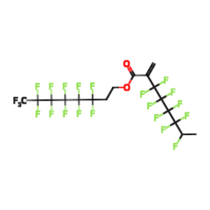 C=C(C(=O)OCCC(F)(F)C(F)(F)C(F)(F)C(F)(F)C(F)(F)C(F)(F)F)C(F)(F)C(F)(F)C(F)(F)C(F)(F)C(C)F